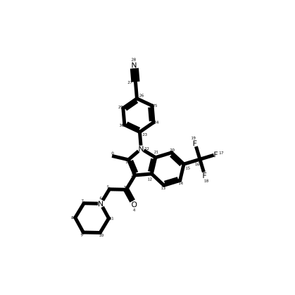 Cc1c(C(=O)CN2CCCCC2)c2ccc(C(F)(F)F)cc2n1-c1ccc(C#N)cc1